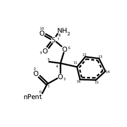 CCCCCC(=O)OC(C)(OS(N)(=O)=O)c1ccccc1